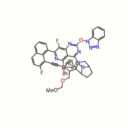 COCOCC1Oc2nc(-c3cccc4ccc(F)c(C#C[Si](C(C)C)(C(C)C)C(C)C)c34)c(F)c3nc(On4nnc5ccccc54)nc(c23)N2CC3CCC(C12)N3C(=O)O